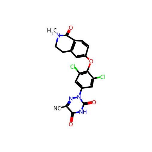 CN1CCc2cc(Oc3c(Cl)cc(-n4nc(C#N)c(=O)[nH]c4=O)cc3Cl)ccc2C1=O